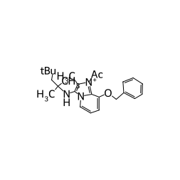 CC(=O)[n+]1c(C)c(NC(C)(C)CC(C)(C)C)n2cccc(OCc3ccccc3)c21